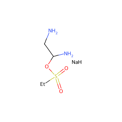 CCS(=O)(=O)OC(N)CN.[NaH]